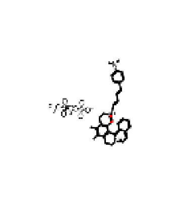 Cc1c(C)c2c(c3c1CC[n+]1ccc4ccccc4c1-3)-c1cccc(/C=C/C=C/c3ccc(N(C)C)cc3)[n+]1CC2.O=S(=O)([O-])C(F)(F)F.O=S(=O)([O-])C(F)(F)F